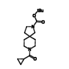 CC(C)(C)OC(=O)N1CCC2(CCN(C(=O)C3CC3)CC2)C1